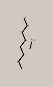 CCCCC.CCCCCCCC